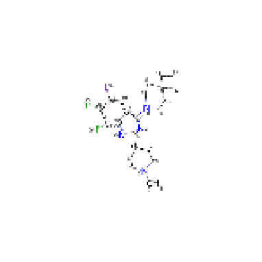 CN1CCC(c2nc(N3CCC4(CCC4)CC3)c3cc(I)c(Br)c(F)c3n2)CC1